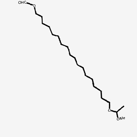 COC(C)OCCCCCCCCCCCCCCCCCCOC=O